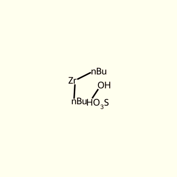 CCC[CH2][Zr][CH2]CCC.O=S(=O)(O)O